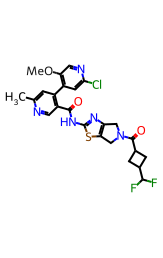 COc1cnc(Cl)cc1-c1cc(C)ncc1C(=O)Nc1nc2c(s1)CN(C(=O)C1CC(C(F)F)C1)C2